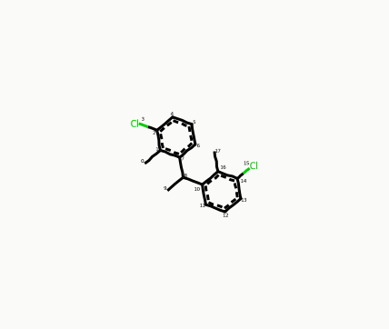 Cc1c(Cl)cccc1C(C)c1cccc(Cl)c1C